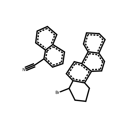 BrC1CCCc2c1ccc1c2ccc2ccccc21.N#Cc1cccc2ccccc12